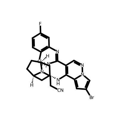 N#CCCN1[C@@H]2CC[C@H]1C[C@H](Nc1c(/C(N)=N/c3cc(F)ccc3Cl)cnn3cc(Br)cc13)C2